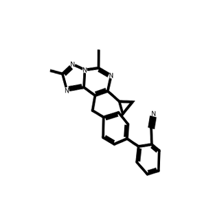 Cc1nc2c(Cc3ccc(-c4ccccc4C#N)cc3)c(C3CC3)nc(C)n2n1